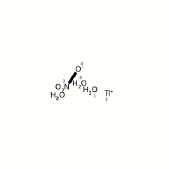 O.O.O.O=[N+]([O-])[O-].[Tl+]